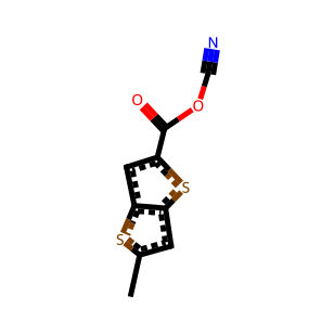 Cc1cc2sc(C(=O)OC#N)cc2s1